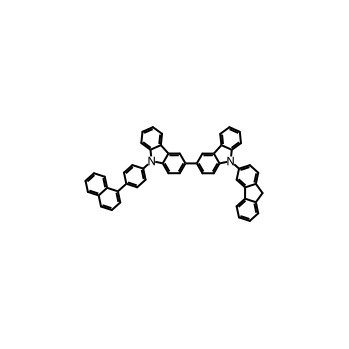 c1ccc2c(c1)Cc1ccc(-n3c4ccccc4c4cc(-c5ccc6c(c5)c5ccccc5n6-c5ccc(-c6cccc7ccccc67)cc5)ccc43)cc1-2